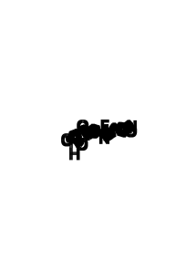 O=C1CCC(N2Cc3cc(-c4nccc(CN5CCc6oncc6C5)c4F)ccc3C2=O)C(=O)N1